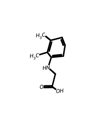 Cc1cccc(NCC(=O)O)c1C